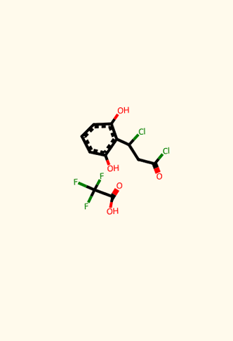 O=C(Cl)CC(Cl)c1c(O)cccc1O.O=C(O)C(F)(F)F